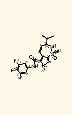 CC(C)[C@@H]1C=Cc2c(cn(C)c2C(=O)Nc2cc(F)c(F)c(F)c2)S(=N)(=O)N1